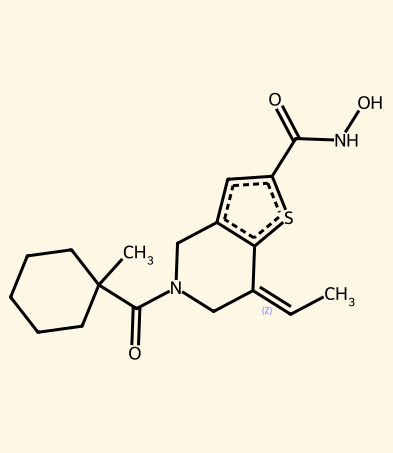 C/C=C1/CN(C(=O)C2(C)CCCCC2)Cc2cc(C(=O)NO)sc21